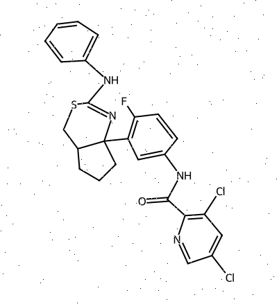 O=C(Nc1ccc(F)c(C23CCCC2CSC(Nc2ccccc2)=N3)c1)c1ncc(Cl)cc1Cl